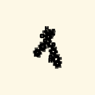 CNc1c(Cl)cc(C[C@@H](CC(=O)N2CCC(N3CCc4ccccc4NC3=O)CC2)C(=O)N2CCN(c3ccncc3)CC2)cc1C(F)(F)F